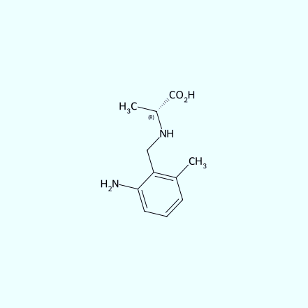 Cc1cccc(N)c1CN[C@H](C)C(=O)O